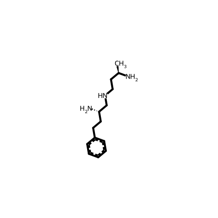 C[C@@H](N)CCNC[C@@H](N)CCc1ccccc1